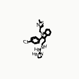 Cc1nc(Cn2c(-c3ccc(Cl)cc3)c(C=CNNC3=NCCN3)c3ccccc32)cs1